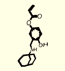 C=CC(=O)Oc1ccc(O)c(CNC23CCCC(CCC2)C3)c1